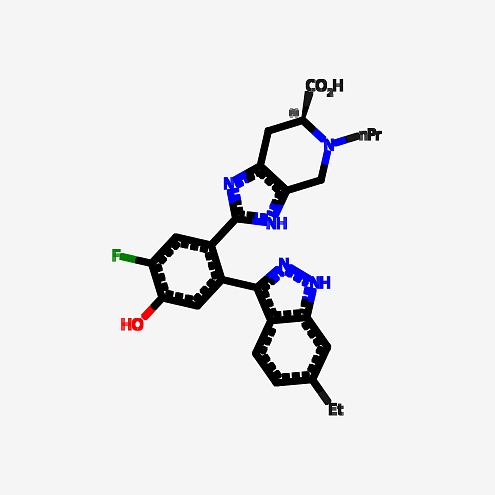 CCCN1Cc2[nH]c(-c3cc(F)c(O)cc3-c3n[nH]c4cc(CC)ccc34)nc2C[C@H]1C(=O)O